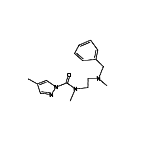 Cc1cnn(C(=O)N(C)CCN(C)Cc2ccccc2)c1